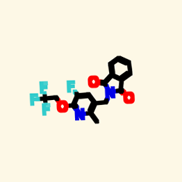 Cc1nc(OCC(F)(F)F)c(F)cc1CN1C(=O)c2ccccc2C1=O